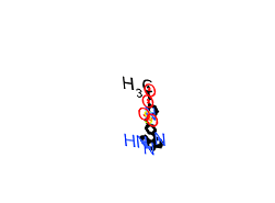 COCCOC1CCCN(S(=O)(=O)CC2CCC(c3nccc4cnc5[nH]ccc5c34)CC2)C1